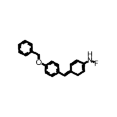 FNC1=CCC(=Cc2ccc(OCc3ccccc3)cc2)C=C1